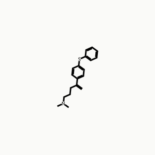 C=C(CCCN(C)C)c1ccc(Sc2ccccc2)cc1